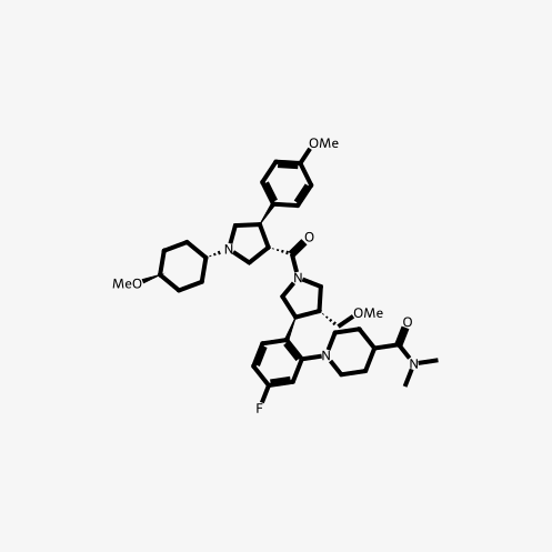 COC[C@H]1CN(C(=O)[C@@H]2CN([C@H]3CC[C@H](OC)CC3)C[C@H]2c2ccc(OC)cc2)C[C@@H]1c1ccc(F)cc1N1CCC(C(=O)N(C)C)CC1